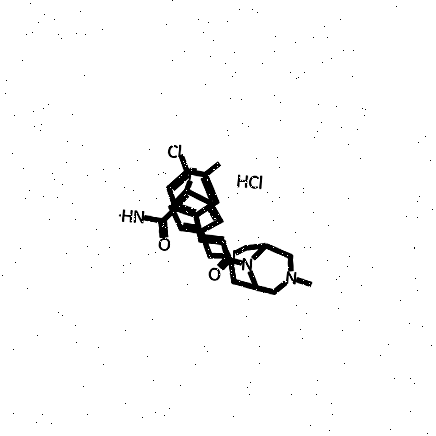 Cc1cc(C=CC(=O)N2C3CN(C)CC2CN(Cc2ccc(F)cc2)C3)c(C([NH])=O)cc1Cl.Cl